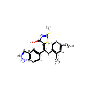 CCSC1=NC(=O)C(=C(Cc2ccc(OC)cc2C(F)(F)F)c2ccc3[nH]ncc3c2)S1